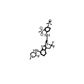 CN1CC[C@@H](Nc2cccc3c(CC(F)(F)F)c(C#CCNc4ccc(P(C)(C)=O)cc4S(C)(=O)=O)sc23)[C@@H](F)C1